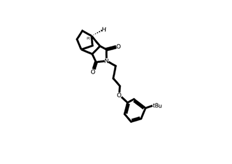 CC(C)(C)c1cccc(OCCCN2C(=O)C3C4CC[C@H](C4)C3C2=O)c1